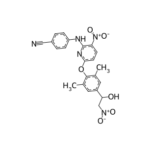 Cc1cc(C(O)C[N+](=O)[O-])cc(C)c1Oc1ccc([N+](=O)[O-])c(Nc2ccc(C#N)cc2)n1